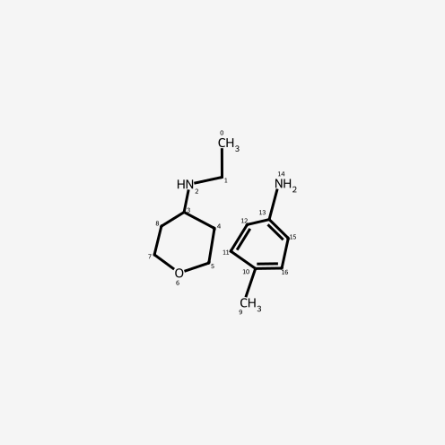 CCNC1CCOCC1.Cc1ccc(N)cc1